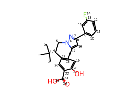 CC(C)(C)[C@@H]1Cn2nc(-c3cccc(F)c3)cc2-c2cc(O)c(C(=O)O)cc21